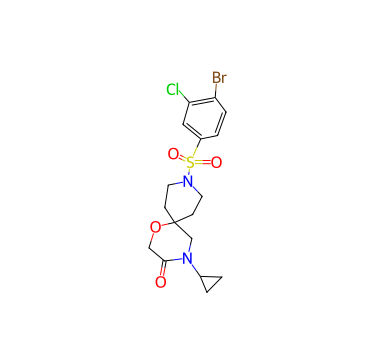 O=C1COC2(CCN(S(=O)(=O)c3ccc(Br)c(Cl)c3)CC2)CN1C1CC1